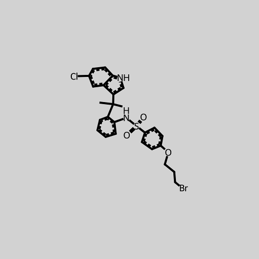 CC(C)(c1ccccc1NS(=O)(=O)c1ccc(OCCCBr)cc1)c1c[nH]c2ccc(Cl)cc12